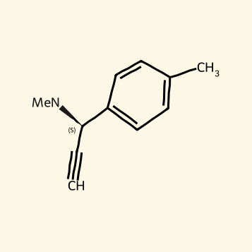 C#C[C@@H](NC)c1ccc(C)cc1